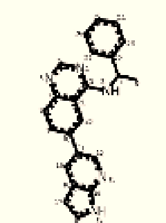 CC(Nc1ncnc2ccc(-c3cnc4[nH]ccc4c3)cc12)c1ccccc1